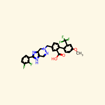 COc1ccc(-c2ccc(CN3Cc4nc(-c5cccc(F)c5F)[nH]c4C=N3)cc2C(=O)O)c(C(F)(F)F)c1